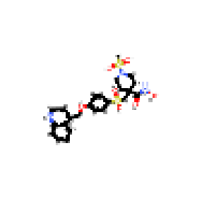 CS(=O)(=O)N1CCC(CS(=O)(=O)c2ccc(OCc3ccnc4ccccc34)cc2)(C(=O)NO)CC1